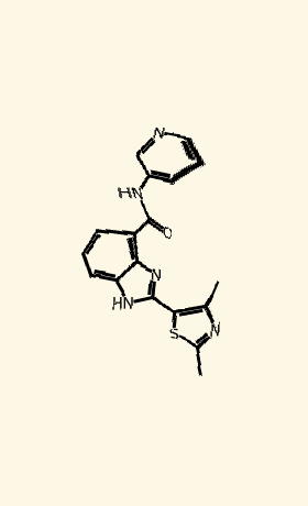 Cc1nc(C)c(-c2nc3c(C(=O)Nc4cccnc4)cccc3[nH]2)s1